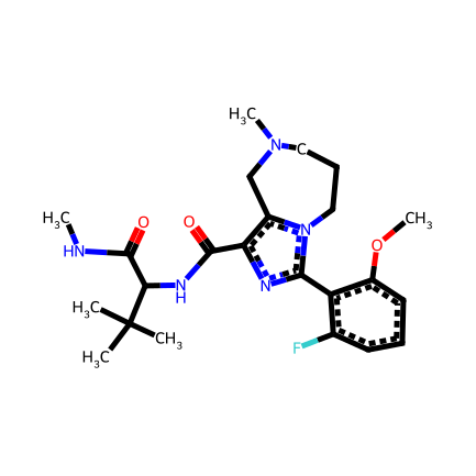 CNC(=O)C(NC(=O)c1nc(-c2c(F)cccc2OC)n2c1CN(C)CCC2)C(C)(C)C